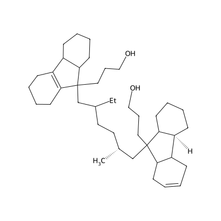 CCC(CC[C@@H](C)CC1(CCCO)C2CC=CCC2[C@@H]2CCCCC21)CC1(CCCO)C2=C(CCCC2)C2CCCCC21